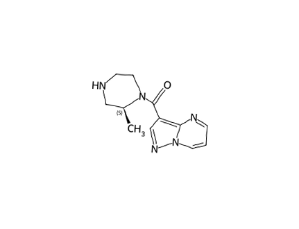 C[C@H]1CNCCN1C(=O)c1cnn2cccnc12